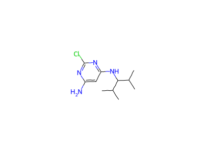 CC(C)C(Nc1cc(N)nc(Cl)n1)C(C)C